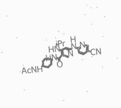 CC(=O)N[C@H]1CC[C@H](NC(=O)c2cnc(Nc3ccc(C#N)cn3)cc2NC(C)C)CC1